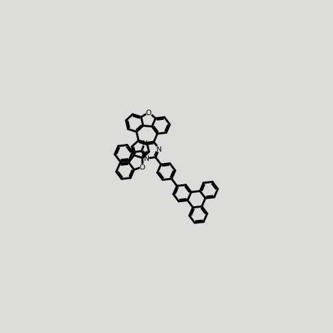 c1ccc(-c2nc(-c3ccc(-c4ccc5c6ccccc6c6ccccc6c5c4)cc3)nc(-c3cccc4oc5cccc(-c6ccc7oc8ccccc8c7c6)c5c34)n2)cc1